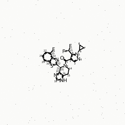 O=C(c1cnn(C2CC2)c1C(F)F)N1CCc2[nH]cnc2[C@H]1c1nc2c(F)cccc2s1